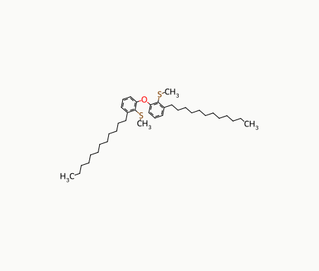 CCCCCCCCCCCCc1cccc(Oc2cccc(CCCCCCCCCCCC)c2SC)c1SC